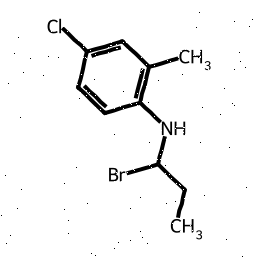 CCC(Br)Nc1ccc(Cl)cc1C